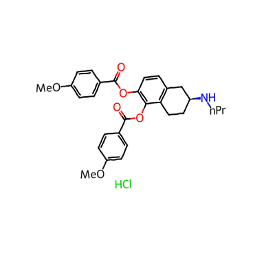 CCCN[C@H]1CCc2c(ccc(OC(=O)c3ccc(OC)cc3)c2OC(=O)c2ccc(OC)cc2)C1.Cl